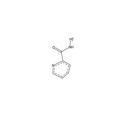 O=C([NH][Hf])c1ccccn1